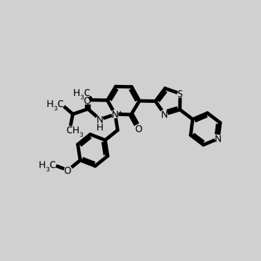 CCC1=CC=C(c2csc(-c3ccncc3)n2)C(=O)[N+]1(Cc1ccc(OC)cc1)NC(=O)C(C)C